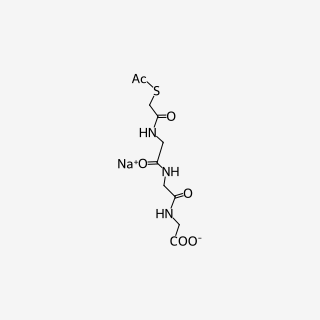 CC(=O)SCC(=O)NCC(=O)NCC(=O)NCC(=O)[O-].[Na+]